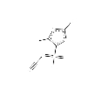 Cc1nc(C)c(S(C)(=O)=NC#N)s1